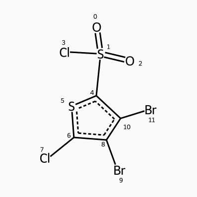 O=S(=O)(Cl)c1sc(Cl)c(Br)c1Br